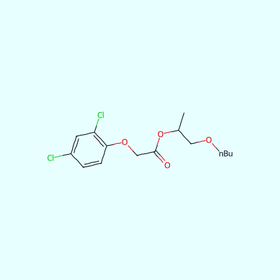 CCCCOCC(C)OC(=O)COc1ccc(Cl)cc1Cl